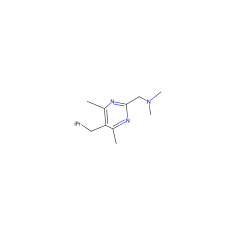 Cc1nc(CN(C)C)nc(C)c1CC(C)C